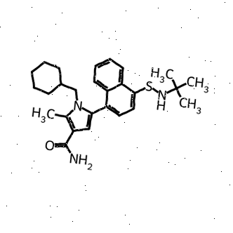 Cc1c(C(N)=O)cc(-c2ccc(SNC(C)(C)C)c3ccccc23)n1CC1CCCCC1